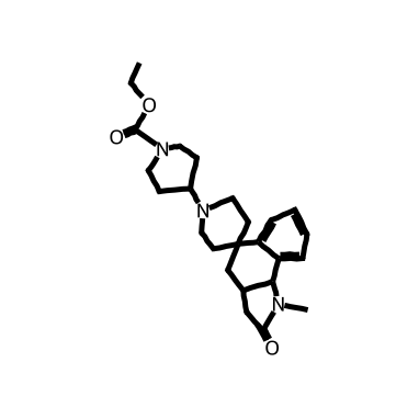 CCOC(=O)N1CCC(N2CCC3(CC2)CC2CC(=O)N(C)C2c2ccccc23)CC1